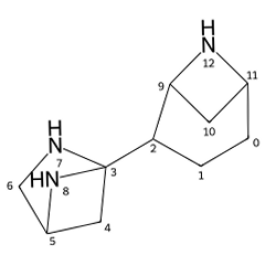 C1CC(C23CC(CN2)N3)C2CC1N2